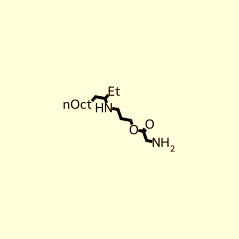 CCCCCCCCCC(CC)NCCCOC(=O)CN